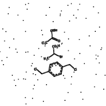 CC(Br)C(=O)O.COC(=O)C(Cl)(Cl)Cl.ClCc1ccc(CCl)cc1